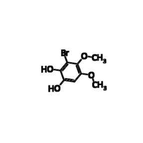 COc1cc(O)c(O)c(Br)c1OC